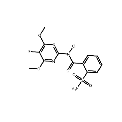 COc1nc(N(Cl)C(=O)c2ccccc2S(N)(=O)=O)nc(OC)c1F